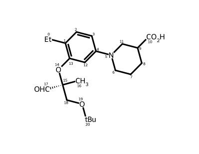 CCc1ccc(N2CCCC(C(=O)O)C2)cc1O[C@](C)(C=O)COC(C)(C)C